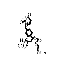 CCCCCCCCCCCCSC(=S)SC(CC(C)C(=O)O)c1ccc(Cn2ccc(=O)[nH]c2=O)cc1